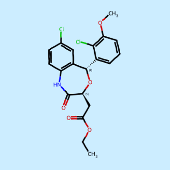 CCOC(=O)C[C@@H]1O[C@@H](c2cccc(OC)c2Cl)c2cc(Cl)ccc2NC1=O